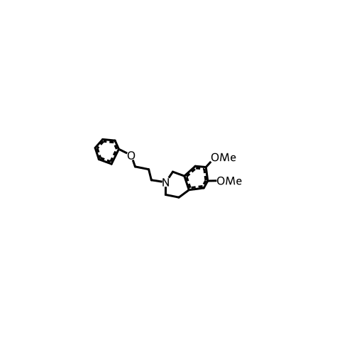 COc1cc2c(cc1OC)CN(CCCOc1ccccc1)CC2